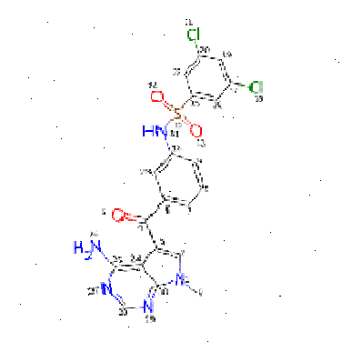 Cn1cc(C(=O)c2cccc(NS(=O)(=O)c3cc(Cl)cc(Cl)c3)c2)c2c(N)ncnc21